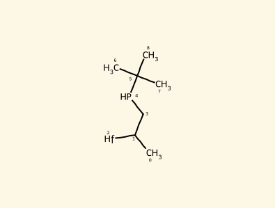 C[CH]([Hf])CPC(C)(C)C